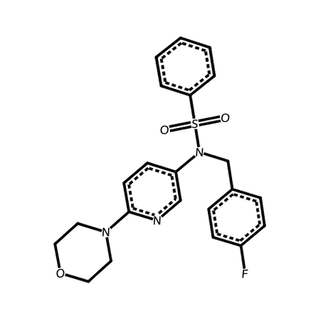 O=S(=O)(c1ccccc1)N(Cc1ccc(F)cc1)c1ccc(N2CCOCC2)nc1